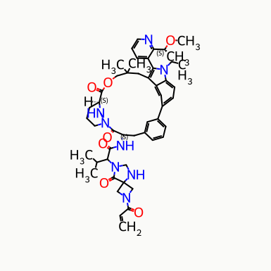 C=CC(=O)N1CC2(C1)NCN(C(C(=O)N[C@H]1Cc3cccc(c3)-c3ccc4c(c3)c(c(-c3cccnc3[C@H](C)OC)n4CC)CC(C)(C)COC(=O)[C@@H]3CCCN(N3)C1=O)C(C)C)C2=O